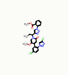 CCC(c1cn(-c2ccccc2C(=O)OC)nn1)n1cc(OC)c(-c2cc(Cl)ccc2-n2cc(Cl)nn2)cc1=O